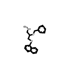 CC(C)(C)NCC(COc1cccc2ccccc12)OCc1ccccc1